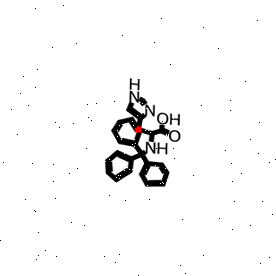 O=C(O)C(Cc1c[nH]cn1)NC(c1ccccc1)(c1ccccc1)c1ccccc1